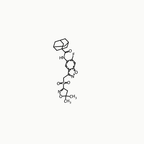 CC1(C)CC(S(=O)(=O)Cc2noc3cc(F)c(NC(=O)C45CC6CC(CC(C6)C4)C5)cc23)=NO1